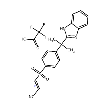 CC(C)(c1ccc(S(=O)(=O)/C=C/C#N)cc1)c1nc2ccccc2[nH]1.O=C(O)C(F)(F)F